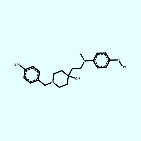 CC(C)Oc1ccc(N(C)CCC2(O)CCN(Cc3ccc([N+](=O)[O-])cc3)CC2)cc1